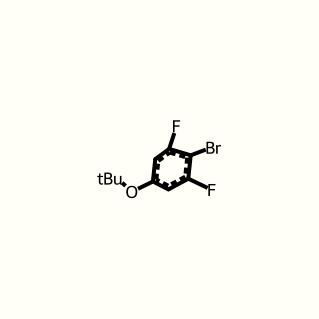 CC(C)(C)Oc1cc(F)c(Br)c(F)c1